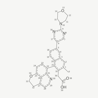 Cc1cc2cc(-c3cnc(N4CCOCC4)nc3)ccc2c(-c2ccc3c4c(ccnc24)CCO3)c1CC(=O)O